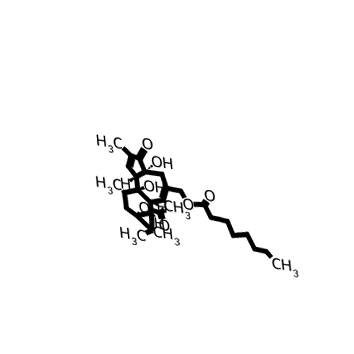 CCCCCCCC(=O)OCC1=C[C@H]2[C@@H]3C(C)(C)[C@]3(OC(C)=O)C[C@@H](C)[C@]2(O)[C@@H]2C=C(C)C(=O)[C@@]2(O)C1